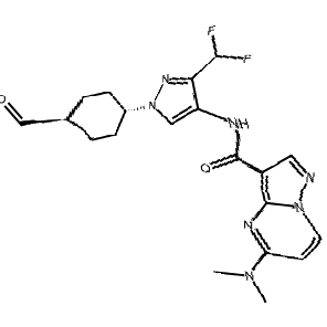 CN(C)c1ccn2ncc(C(=O)Nc3cn([C@H]4CC[C@H](C=O)CC4)nc3C(F)F)c2n1